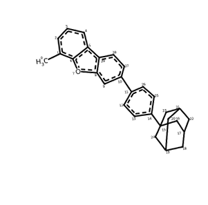 Cc1cccc2c1oc1cc(-c3ccc(C45CC6CC(CC(C6)C4)C5)cc3)ccc12